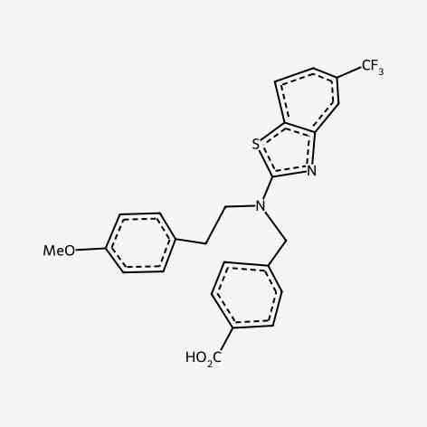 COc1ccc(CCN(Cc2ccc(C(=O)O)cc2)c2nc3cc(C(F)(F)F)ccc3s2)cc1